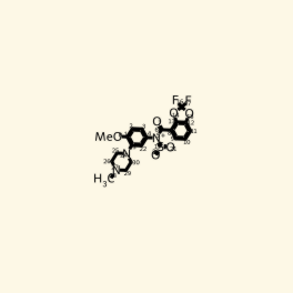 COc1ccc([N+](C(=O)c2cccc3c2OC(F)(F)O3)=S(=O)=O)cc1N1CCN(C)CC1